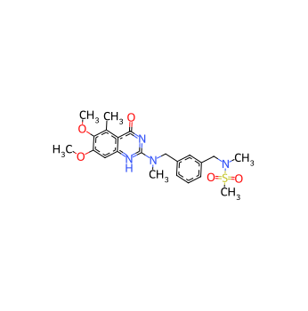 COc1cc2[nH]c(N(C)Cc3cccc(CN(C)S(C)(=O)=O)c3)nc(=O)c2c(C)c1OC